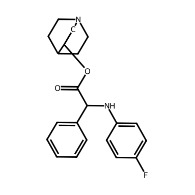 O=C(OC1CN2CCC1CC2)C(Nc1ccc(F)cc1)c1ccccc1